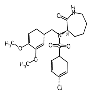 COC1=CCC(CN([C@@H]2CCCCNC2=O)S(=O)(=O)C2C=CC(Cl)=CC2)C=C1OC